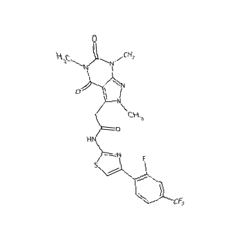 Cn1nc2c(c1CC(=O)Nc1nc(-c3ccc(C(F)(F)F)cc3F)cs1)c(=O)n(C)c(=O)n2C